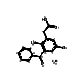 Nc1c(CC(=O)O)cc(Cl)cc1C(=O)c1ccccc1.O